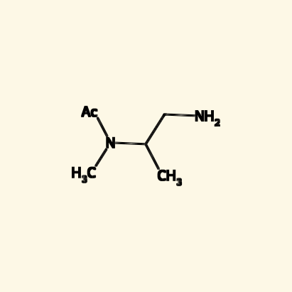 CC(=O)N(C)C(C)CN